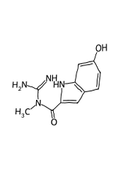 CN(C(=N)N)C(=O)c1cc2ccc(O)cc2[nH]1